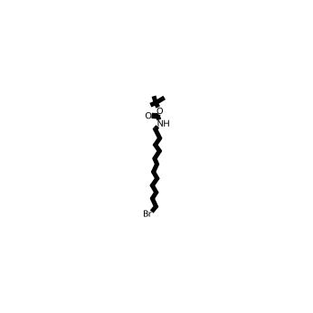 CC(C)(C)OC(=O)NCCCCCCCCCCCCBr